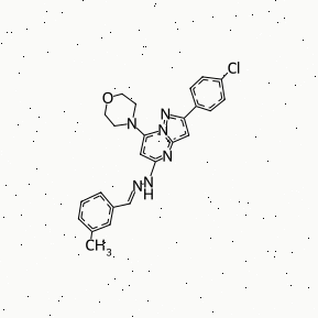 Cc1cccc(/C=N/Nc2cc(N3CCOCC3)n3nc(-c4ccc(Cl)cc4)cc3n2)c1